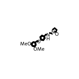 COc1cc(COc2ccc(CNCCN3CCCC3=O)cc2)cc(OC)c1